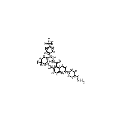 NCC1CCN(c2ccc3c(C(=O)NCC(c4cnc(C(F)(F)F)nc4)N4CCC(F)(F)CC4)c(Cl)ccc3n2)CC1